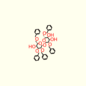 O[C@@H]1[C@H](O)[C@@H](OCc2ccccc2)[C@H](O[C@H]2O[C@H](COCc3ccccc3)[C@@H](O)[C@H](OCc3ccccc3)[C@H]2OCc2ccccc2)O[C@@H]1COCc1ccccc1